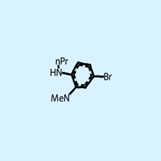 CCCNc1ccc(Br)cc1NC